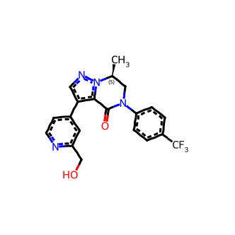 C[C@H]1CN(c2ccc(C(F)(F)F)cc2)C(=O)c2c(-c3ccnc(CO)c3)cnn21